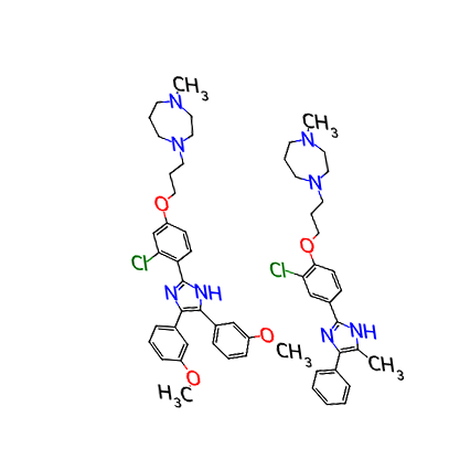 COc1cccc(-c2nc(-c3ccc(OCCCN4CCCN(C)CC4)cc3Cl)[nH]c2-c2cccc(OC)c2)c1.Cc1[nH]c(-c2ccc(OCCCN3CCCN(C)CC3)c(Cl)c2)nc1-c1ccccc1